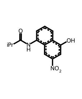 CC(C)C(=O)Nc1cccc2c(O)cc([N+](=O)[O-])cc12